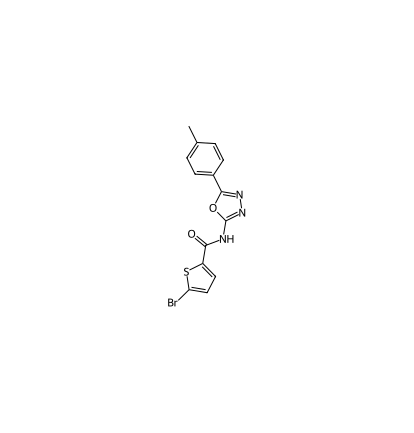 Cc1ccc(-c2nnc(NC(=O)c3ccc(Br)s3)o2)cc1